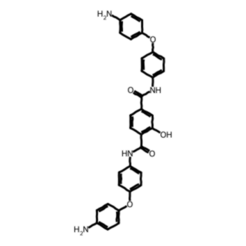 Nc1ccc(Oc2ccc(NC(=O)c3ccc(C(=O)Nc4ccc(Oc5ccc(N)cc5)cc4)c(O)c3)cc2)cc1